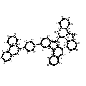 c1ccc2c(c1)cc(-c1ccc(-c3ccc4c(c3)c3c5ccccc5ccc3n4-c3nc4ccccc4c4nc5ccccc5n34)cc1)c1ccccc12